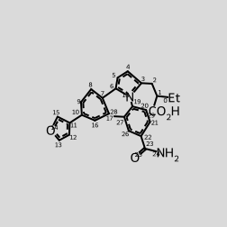 CCC(Cc1ccc(-c2ccc(-c3ccoc3)cc2)n1-c1ccc(C(N)=O)cc1C)C(=O)O